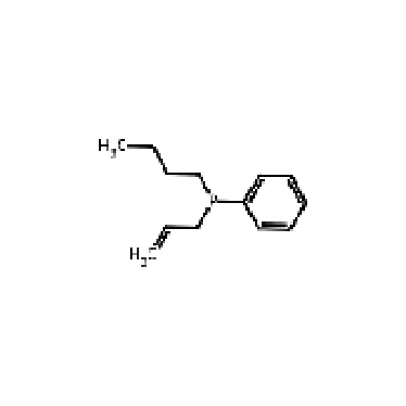 C=CCP(CCCC)c1ccccc1